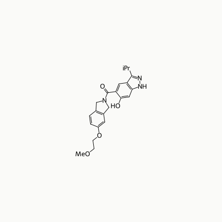 COCCOc1ccc2c(c1)CN(C(=O)c1cc3c(C(C)C)n[nH]c3cc1O)C2